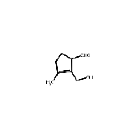 CC1=C(CO)C(C=O)CC1